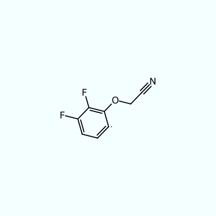 N#CCOc1[c]ccc(F)c1F